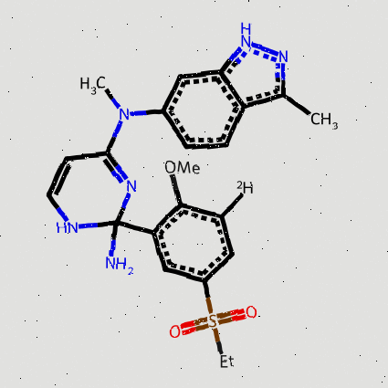 [2H]c1cc(S(=O)(=O)CC)cc(C2(N)N=C(N(C)c3ccc4c(C)n[nH]c4c3)C=CN2)c1OC